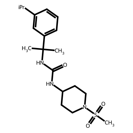 CC(C)c1cccc(C(C)(C)NC(=O)NC2CCN(S(C)(=O)=O)CC2)c1